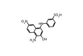 Nc1c(O)cc(Nc2cccc(S(=O)(=O)O)c2)c2cc([N+](=O)[O-])ccc12